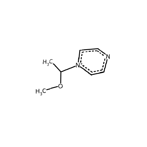 COC(C)[n+]1ccncc1